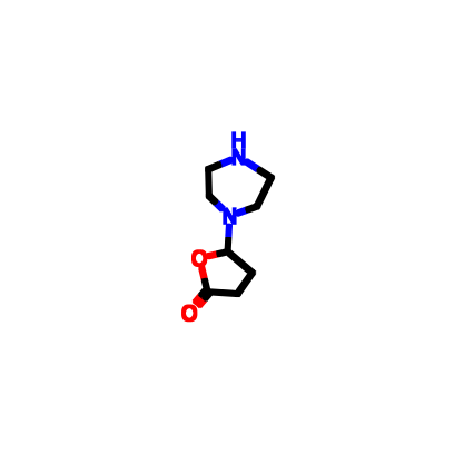 O=C1CCC(N2CCNCC2)O1